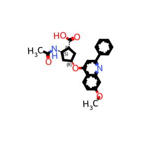 COc1ccc2c(O[C@H]3C[C@H](NC(C)=O)[C@H](C(=O)O)C3)cc(-c3ccccc3)nc2c1